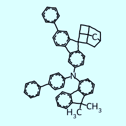 CC1(C)c2ccccc2-c2c(N(c3ccc(-c4ccccc4)cc3)c3ccc4c(c3)-c3ccc(-c5ccccc5)cc3C43C4CC5CC6CC3C64C5)cccc21